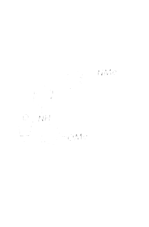 CNCc1ccc(-c2cccc(NC(=O)C3(c4ccc(OC)cc4)CC3(C)C)c2)cc1